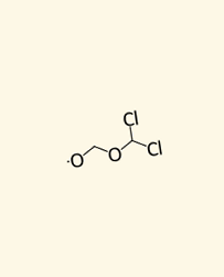 [O]COC(Cl)Cl